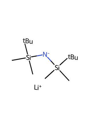 CC(C)(C)[Si](C)(C)[N-][Si](C)(C)C(C)(C)C.[Li+]